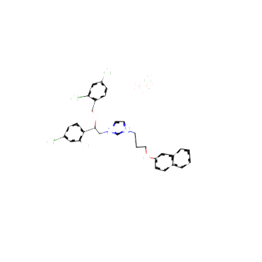 Clc1ccc(COC(C[n+]2ccn(CCCOc3ccc4ccccc4c3)c2)c2ccc(Cl)cc2Cl)c(Cl)c1.O.[Cl-]